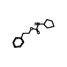 O=C(NC1CCCC1)OCCc1ccccc1